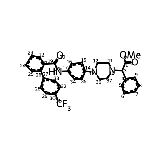 COC(=O)C(c1ccccc1)N1CCN(c2ccc(NC(=O)c3ccccc3-c3ccc(C(F)(F)F)cc3)cc2)CC1